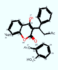 CC(=O)CC(c1ccccc1)c1c(O)c2ccccc2oc1=O.CC(=O)Oc1ccccc1C(=O)O.[NaH]